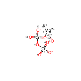 CC(=O)[O-].[K+].[Mg+2].[O]=[Cr](=[O])([O-])[O][Cr](=[O])(=[O])[O-]